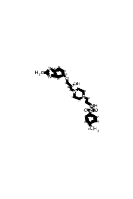 Cc1ccc(S(=O)(=O)NCCN2CCN(C[C@@H](O)COc3ccc4sc(C)nc4c3)CC2)cc1